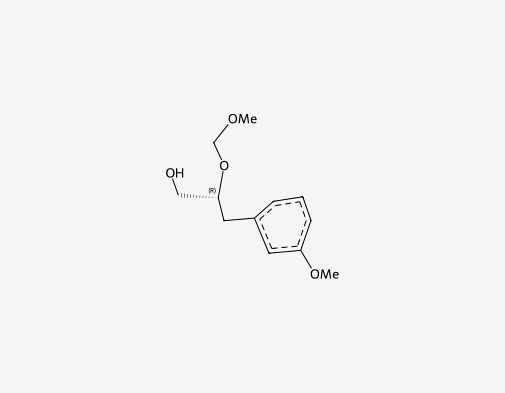 COCO[C@@H](CO)Cc1cccc(OC)c1